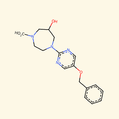 O=C(O)N1CCN(c2ncc(OCc3ccccc3)cn2)CC(O)C1